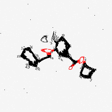 O=C(OC1CCC1)c1ccc([N+](=O)[O-])c(OCc2ccccc2)c1